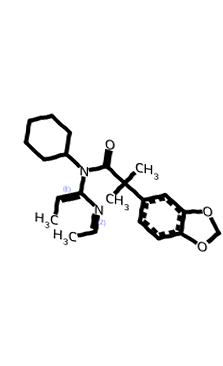 C/C=N\C(=C/C)N(C(=O)C(C)(C)c1ccc2c(c1)OCO2)C1CCCCC1